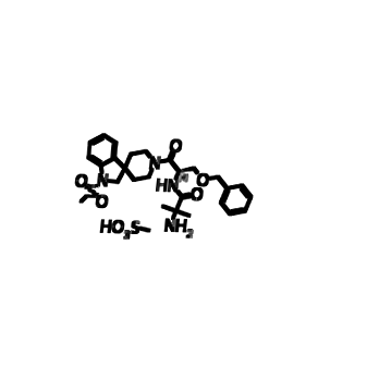 CC(C)(N)C(=O)N[C@H](COCc1ccccc1)C(=O)N1CCC2(CC1)CN(S(C)(=O)=O)c1ccccc12.CS(=O)(=O)O